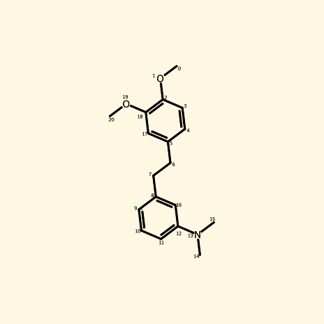 COc1ccc(CCc2[c]ccc(N(C)C)c2)cc1OC